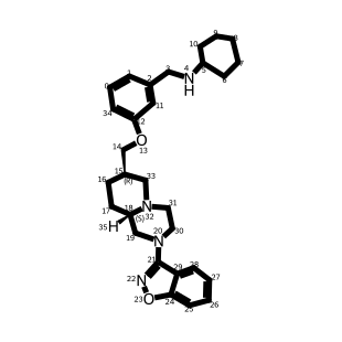 c1cc(CNC2CCCCC2)cc(OC[C@@H]2CC[C@H]3CN(c4noc5ccccc45)CCN3C2)c1